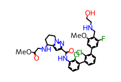 COC(=O)CNC1CCCn2nc(C(=O)Nc3cccc(-c4cccc(-c5cc(F)c(CNCCO)c(OC)c5)c4Cl)c3Cl)cc21